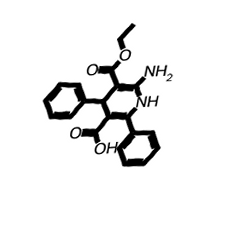 CCOC(=O)C1=C(N)NC(c2ccccc2)=C(C(=O)O)C1c1ccccc1